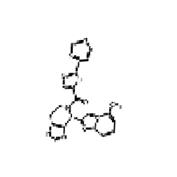 Cc1cccn2nc([C@H]3c4nc[nH]c4CCN3C(=O)c3nnc(-c4ccncn4)o3)cc12